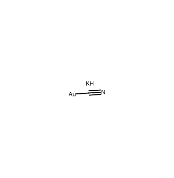 N#[C][Au].[KH]